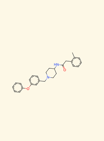 Cc1ccccc1CC(=O)NC1CCN(Cc2cccc(Oc3ccccc3)c2)CC1